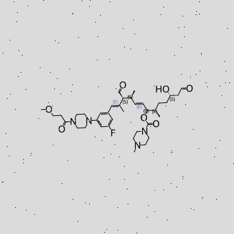 COCCC(=O)N1CCN(c2cc(F)cc(/C=C(\C)[C@@H](C=O)[C@@H](C)/C=C/[C@H](OC(=O)N3CCN(C)CC3)[C@H](C)CC[C@H](O)CC=O)c2)CC1